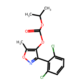 Cc1onc(-c2c(Cl)cccc2Cl)c1OC(=O)OC(C)C